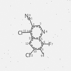 N#Cc1cnc2c(F)c(I)c(Cl)cc2c1Cl